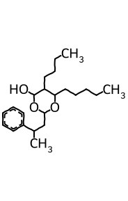 CCCCCC1OC(CC(C)c2ccccc2)OC(O)C1CCCC